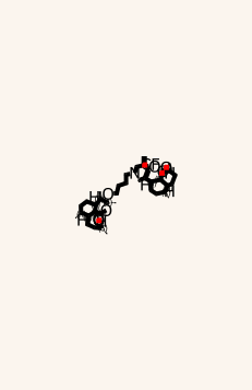 C=CCN(CCCCO[C@@]1(C)O[C@@H]2O[C@]3(C)CC[C@H]4[C@H](C)CC[C@@H]([C@H]1C)[C@@]24OO3)CC1=C(C(F)(F)F)O[C@@H]2O[C@]3(C)CC[C@H]4[C@H](C)CC[C@@H]1[C@@]24O3